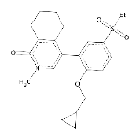 CCS(=O)(=O)c1ccc(OCC2CC2)c(-c2cn(C)c(=O)c3c2CCCC3)c1